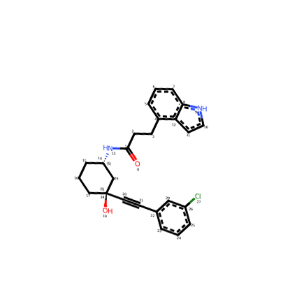 O=C(CCc1cccc2[nH]ccc12)N[C@H]1CCC[C@@](O)(C#Cc2cccc(Cl)c2)C1